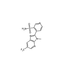 Cn1c(-c2ccncc2S(N)(=O)=O)nc2cc(C(F)(F)F)cnc21